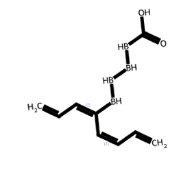 C=C/C=C\C(BBBBC(=O)O)=C/C=C